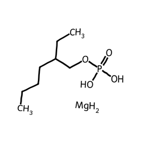 CCCCC(CC)COP(=O)(O)O.[MgH2]